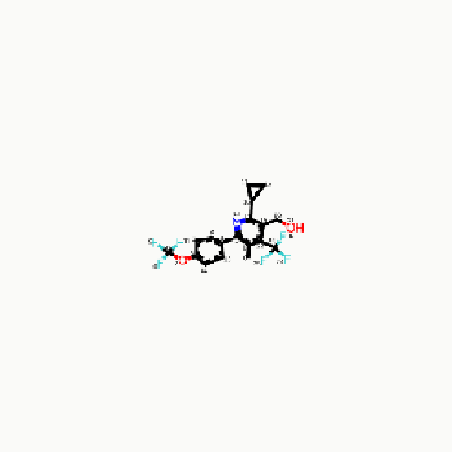 Cc1c(-c2ccc(OC(F)(F)F)cc2)nc(C2CC2)c(CO)c1C(F)(F)F